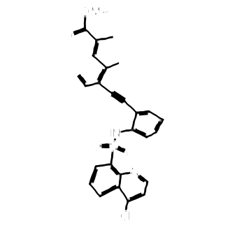 C=C/C(C#Cc1ccccc1NS(=O)(=O)c1cccc2c(Cl)ccnc12)=C(C)\C=C(/C)C(=O)OC